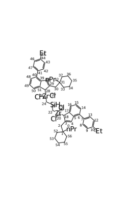 CCCC1(CC2=Cc3c(-c4ccc(CC)cc4)cccc3[CH]2[Zr]([Cl])([Cl])[CH2][SiH2][CH2][Zr]([Cl])([Cl])[CH]2C(CC3(CCC)CCCCC3)=Cc3c(-c4ccc(CC)cc4)cccc32)CCCCC1